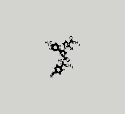 CC(=O)N1CCN([C@H]2CN(C(=O)NC(C)c3ccc(C#N)cc3)N=C2c2ccc(C)cc2)C1=O